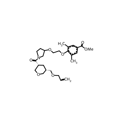 C=CCOC[C@@H]1COC[C@H](C(=O)N2CCC(OCCOc3c(C)cc(C(=O)OC)cc3C)C2)C1